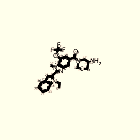 CCn1c(-c2nc3cc(C(=O)N4CCC[C@@H](N)C4)cc(OC(F)(F)F)c3n2C)cc2ccccc21